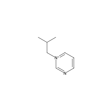 CC(C)C[n+]1cccnc1